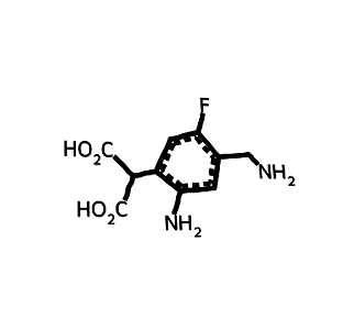 NCc1cc(N)c(C(C(=O)O)C(=O)O)cc1F